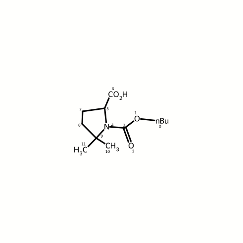 CCCCOC(=O)N1C(C(=O)O)CCC1(C)C